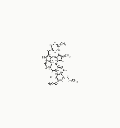 CCCc1cc(OC)c(F)c(N2Cc3cnc4[nH]c(CN5CCN(C)CC5)cc4c3N(c3cnn(C)c3)C2=O)c1F